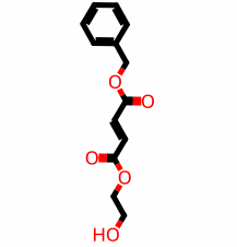 O=C(C=CC(=O)OCc1ccccc1)OCCO